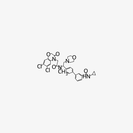 CN(C(=O)CN1C(=O)COc2cc(Cl)c(Cl)cc21)C(CN1CCOCC1)c1ccc(-c2cccc(C(=O)NC3CC3)c2)cc1